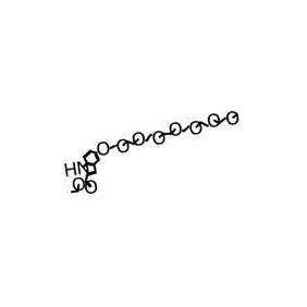 CCOC(=O)c1cc2cc(OCCOCCOCCOCCOCCOCCOCCOC)ccc2[nH]1